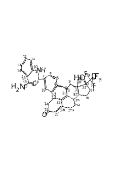 CC12C[C@H](c3ccc(CNc4ccccc4C(N)=O)cc3)C3=C4CCC(=O)C=C4CCC3C1CC[C@@]2(O)C(F)(F)C(F)(F)F